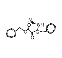 N#CN[C@@H](Cc1ccccc1)C(=O)C(=O)OCc1ccccc1